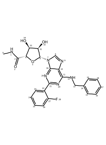 CNC(=O)[C@H]1O[C@@H](n2cnc3c(NCc4ccccc4)nc(-c4ccccc4F)nc32)[C@H](O)[C@@H]1O